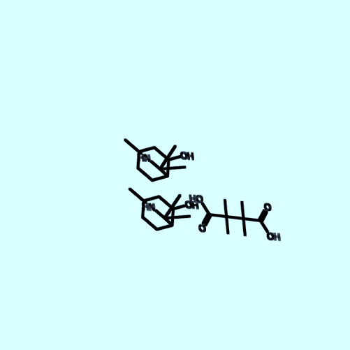 CC(C)(C(=O)O)C(C)(C)C(=O)O.CC12CCC(C(O)C1)C(C)(C)N2.CC12CCC(C(O)C1)C(C)(C)N2